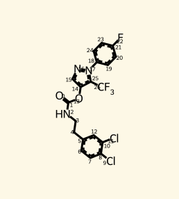 O=C(NCCc1ccc(Cl)c(Cl)c1)Oc1cnn(-c2ccc(F)cc2)c1C(F)(F)F